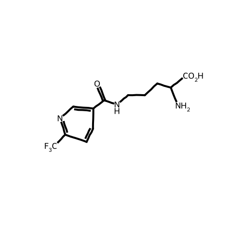 NC(CCCNC(=O)c1ccc(C(F)(F)F)nc1)C(=O)O